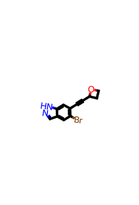 Brc1cc2cn[nH]c2cc1C#CC1CCO1